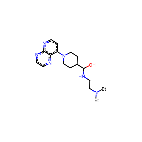 CCN(CC)CCNC(O)C1CCN(c2ccnc3nccnc23)CC1